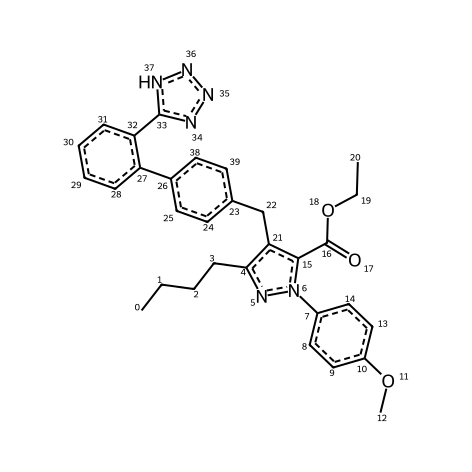 CCCCc1nn(-c2ccc(OC)cc2)c(C(=O)OCC)c1Cc1ccc(-c2ccccc2-c2nnn[nH]2)cc1